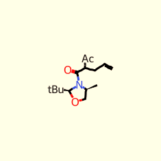 C=CCC(C(C)=O)C(=O)N1[C@H](C(C)(C)C)OC[C@@H]1C